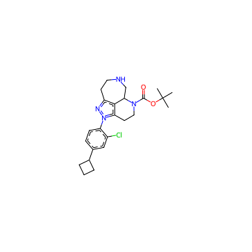 CC(C)(C)OC(=O)N1CCc2c3c(nn2-c2ccc(C4CCC4)cc2Cl)CCNCC31